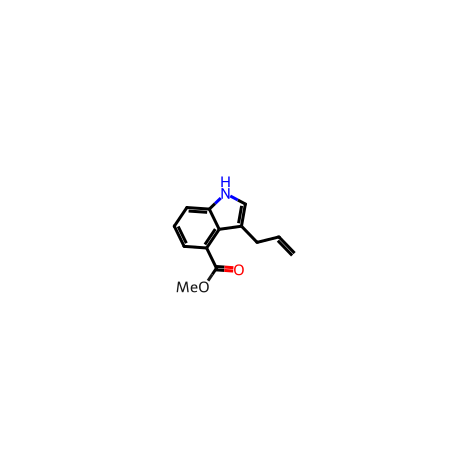 C=CCc1c[nH]c2cccc(C(=O)OC)c12